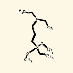 CCN(CC)CCC[Si](CC)(OC)OC